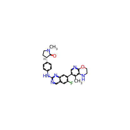 Cc1c(-c2cc3nc(Nc4ccc([C@@H]5CCN(C)C5=O)cc4)ncc3cc2F)cnc2c1NCCO2